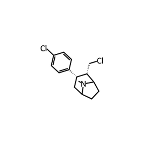 CN1C2CCC1[C@@H](CCl)[C@@H](c1ccc(Cl)cc1)C2